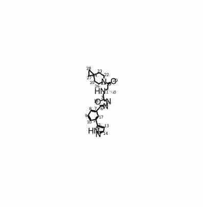 C[C@H](Nc1nnc(-c2cccc(-c3ccn[nH]3)c2)o1)C(=O)N1CCC2(CC1)CC2